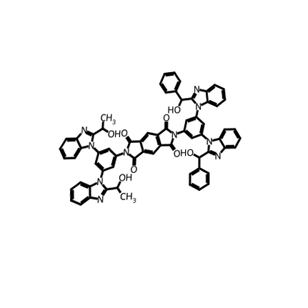 CC(O)c1nc2ccccc2n1-c1cc(-n2c(=O)c3cc4c(=O)n(-c5cc(-n6c(C(O)c7ccccc7)nc7ccccc76)cc(-n6c(C(O)c7ccccc7)nc7ccccc76)c5)c(=O)c4cc3c2=O)cc(-n2c(C(C)O)nc3ccccc32)c1